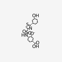 COc1cc(C(=O)O)ccc1NS(=O)(=O)c1csc(-c2cccc(O)c2)n1